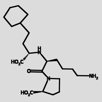 NCCCC[C@H](N[C@@H](CCC1CCCCC1)C(=O)O)C(=O)N1CCC[C@H]1C(=O)O